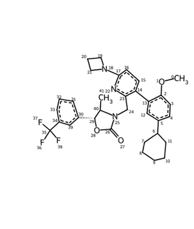 COc1ccc(C2CCCCC2)cc1-c1ccc(N2CCC2)nc1CN1C(=O)O[C@H](c2cccc(C(F)(F)F)c2)C1C